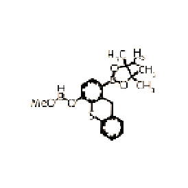 COBOc1ccc(B2OC(C)(C)C(C)(C)O2)c2c1Sc1ccccc1C2